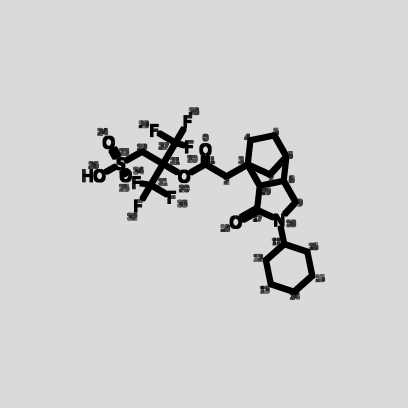 O=C(CC12CCC(C1)C1CN(C3CCCCC3)C(=O)C12)OC(CS(=O)(=O)O)(C(F)(F)F)C(F)(F)F